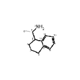 C[C@H](N)C1CCCc2ccccc21